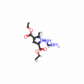 CCOC(=O)c1cc(C(=O)OCC)n(NCN)c1C